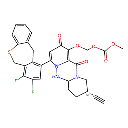 C#C[C@@H]1CCC2Nn3c(-c4cc(F)c(F)c5c4Cc4ccccc4SC5)cc(=O)c(OCOC(=O)OC)c3C(=O)N2C1